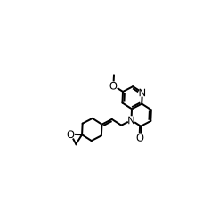 COc1cnc2ccc(=O)n(CC=C3CCC4(CC3)CO4)c2c1